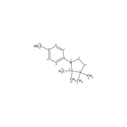 CC1(C)CCB(c2ccc(C(=O)O)cc2)C1(C)C